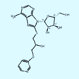 Nc1ncnc2c1nc(SCC(O)COc1cccnc1)n2[C@@H]1O[C@H](CO)[C@@H](O)[C@H]1O